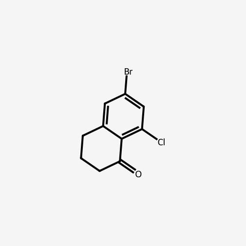 O=C1CCCc2cc(Br)cc(Cl)c21